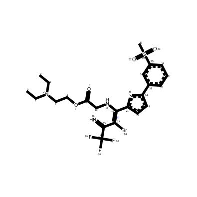 CCN(CC)CCOC(=O)CN/C(=C(/Br)C(=N)C(F)(F)F)c1ccc(-c2cccc(S(C)(=O)=O)c2)s1